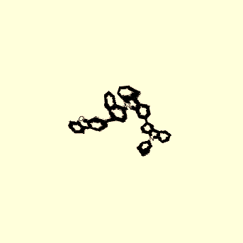 c1ccc(-n2c3ccccc3c3cc(-c4ccc5c6ccccc6n(-c6ccc(-c7ccc8c(c7)oc7ccccc78)c7ccccc67)c5c4)ccc32)cc1